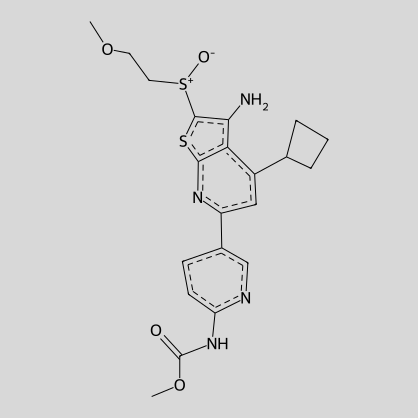 COCC[S+]([O-])c1sc2nc(-c3ccc(NC(=O)OC)nc3)cc(C3CCC3)c2c1N